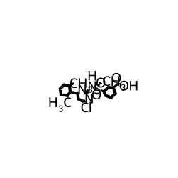 Cc1cccc(C)c1-c1cc(Cl)nc(NS(=O)(=O)c2cccc(C(=O)O)c2C)n1